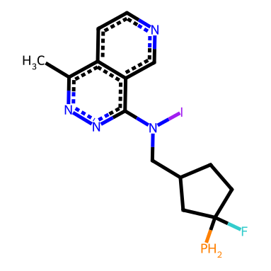 Cc1nnc(N(I)CC2CCC(F)(P)C2)c2cnccc12